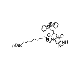 CCCCCCCCCCCCCCCCCCCC(=O)OCC(CC[Si](c1ccccc1)(c1ccccc1)C(C)(C)C)Cn1c(N)nc2nc[nH]c2c1=O